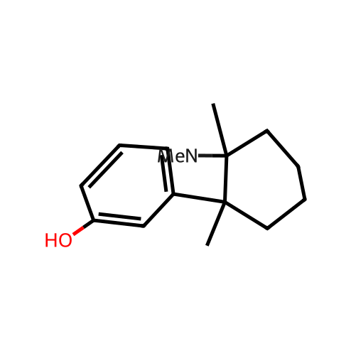 CNC1(C)CCCCC1(C)c1cccc(O)c1